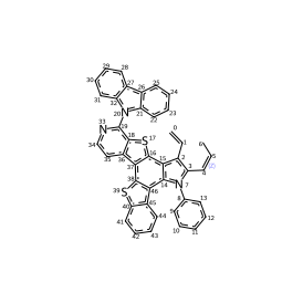 C=Cc1c(/C=C\C)n(-c2ccccc2)c2c1c1sc3c(-n4c5ccccc5c5ccccc54)nccc3c1c1sc3ccccc3c12